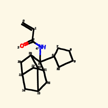 C=CC(=O)NC1(C2CCCC2)C2CC3CC(C2)CC1C3